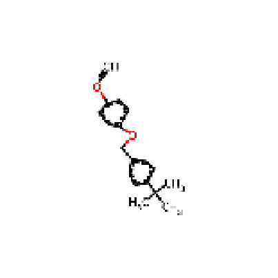 C#COc1ccc(OCc2ccc(C(C)(C)C)cc2)cc1